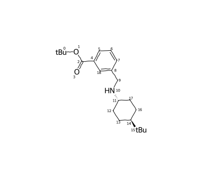 CC(C)(C)OC(=O)c1cccc(CN[C@H]2CC[C@H](C(C)(C)C)CC2)c1